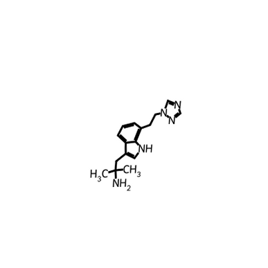 CC(C)(N)Cc1c[nH]c2c(CCn3cncn3)cccc12